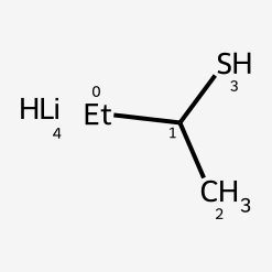 CCC(C)S.[LiH]